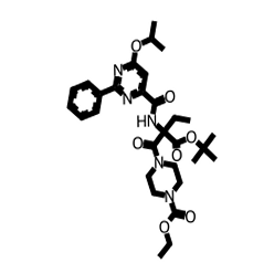 CCOC(=O)N1CCN(C(=O)C(CC)(NC(=O)c2cc(OC(C)C)nc(-c3ccccc3)n2)C(=O)OC(C)(C)C)CC1